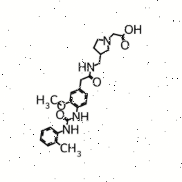 COc1cc(CC(=O)NCC2CCN(CC(=O)O)C2)ccc1NC(=O)Nc1ccccc1C